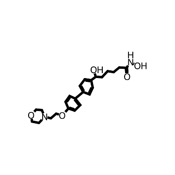 O=C(CCCCC(O)c1ccc(-c2ccc(OCCN3CCOCC3)cc2)cc1)NO